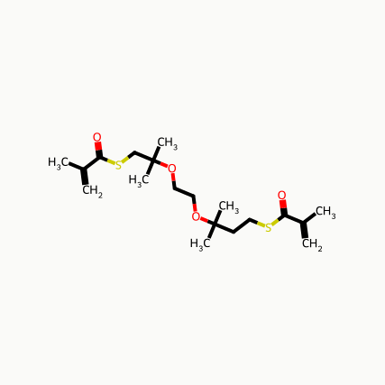 C=C(C)C(=O)SCCC(C)(C)OCCOC(C)(C)CSC(=O)C(=C)C